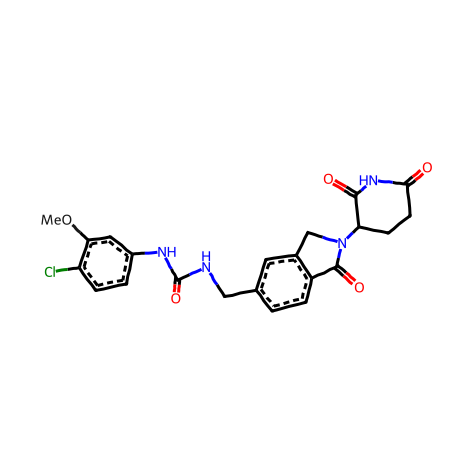 COc1cc(NC(=O)NCc2ccc3c(c2)CN(C2CCC(=O)NC2=O)C3=O)ccc1Cl